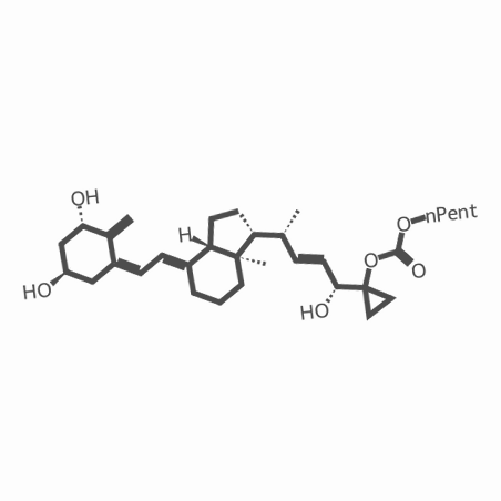 C=C1/C(=C\C=C2/CCC[C@]3(C)[C@@H]([C@H](C)/C=C/[C@@H](O)C4(OC(=O)OCCCCC)CC4)CC[C@@H]23)C[C@@H](O)C[C@@H]1O